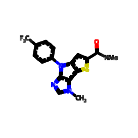 CNC(=O)c1cc2c(s1)c1c(ncn1C)n2-c1ccc(C(F)(F)F)cc1